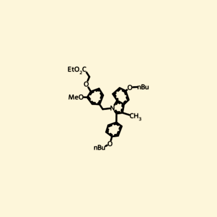 CCCCOc1ccc(-c2c(C)c3cc(OCCCC)ccc3n2Cc2ccc(OCC(=O)OCC)c(OC)c2)cc1